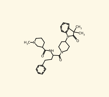 CN1CCCC(C(=O)NC(CCc2ccccc2)C(=O)N2CCC(N3C(=O)C(C)(C)c4ccccc43)CC2)C1